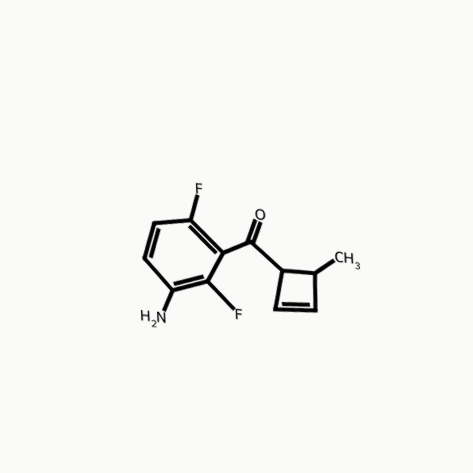 CC1C=CC1C(=O)c1c(F)ccc(N)c1F